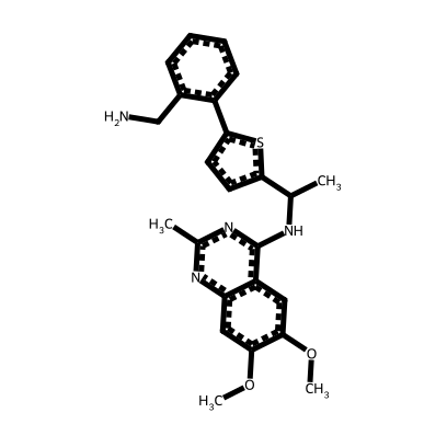 COc1cc2nc(C)nc(NC(C)c3ccc(-c4ccccc4CN)s3)c2cc1OC